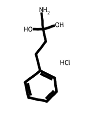 Cl.NC(O)(O)CCc1ccccc1